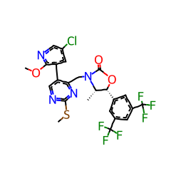 COc1ncc(Cl)cc1-c1cnc(SC)nc1CN1C(=O)O[C@H](c2cc(C(F)(F)F)cc(C(F)(F)F)c2)[C@@H]1C